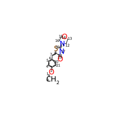 C=COc1ccc(C=C2SC(N3CCOCC3)=NC2=O)cc1